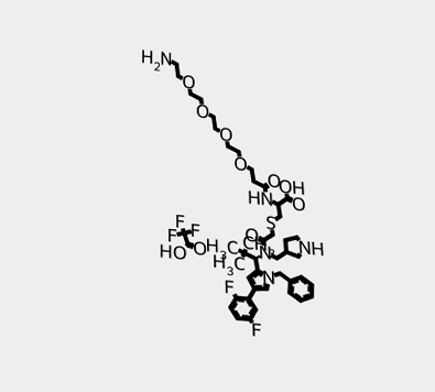 CC(C)(C)[C@H](c1cc(-c2cc(F)ccc2F)cn1Cc1ccccc1)N(CC1CCNC1)C(=O)CSCC(NC(=O)CCOCCOCCOCCOCCN)C(=O)O.O=C(O)C(F)(F)F